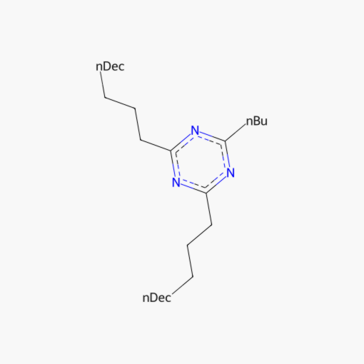 [CH2]CCCc1nc(CCCCCCCCCCCCC)nc(CCCCCCCCCCCCC)n1